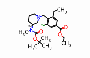 CCOC(=O)c1cc(F)c(CN2CCC[C@H](N(C)C(=O)OC(C)(C)C)C2)c(CC)c1